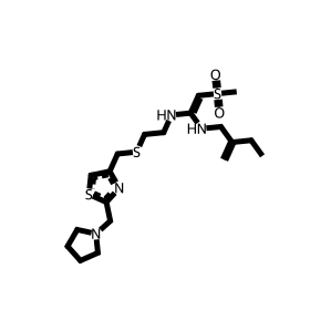 C=C(CC)CNC(=CS(C)(=O)=O)NCCSCc1csc(CN2CCCC2)n1